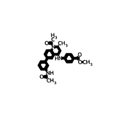 COC(=O)c1ccc(N[C@H]2C[C@@H](C)N(C(C)=O)c3ccc(-c4cccc(NC(C)=O)c4)cc32)cc1